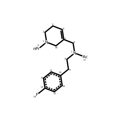 CCCN1CCC=C(CN(CCc2ccc(F)cc2)C(C)=O)C1